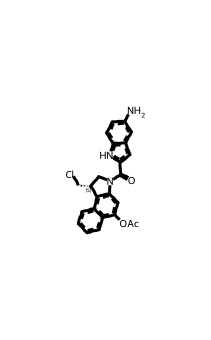 CC(=O)Oc1cc2c(c3ccccc13)[C@H](CCl)CN2C(=O)c1cc2cc(N)ccc2[nH]1